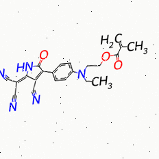 C=C(C)C(=O)OCCN(CC)c1ccc(C2=C(C#N)C(=C(C#N)C#N)NC2=O)cc1